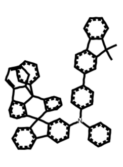 CC1(C)c2ccccc2-c2ccc(-c3ccc(N(c4ccccc4)c4ccc5c(c4)C4(c6ccccc6-5)c5ccccc5C5(c6ccccc6)c6c(cccc64)C4=CC=CCC45)cc3)cc21